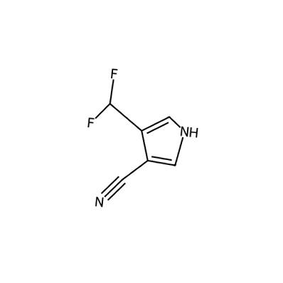 N#Cc1c[nH]cc1C(F)F